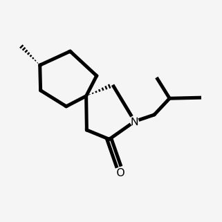 CC(C)CN1C[C@]2(CC[C@@H](C)CC2)CC1=O